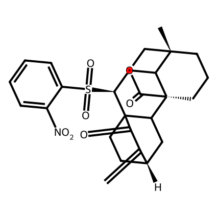 C=C1C(=O)C23CC[C@H]1CC2[C@@]12CCC[C@@](C)(COC1=O)C2C[C@@H]3S(=O)(=O)c1ccccc1[N+](=O)[O-]